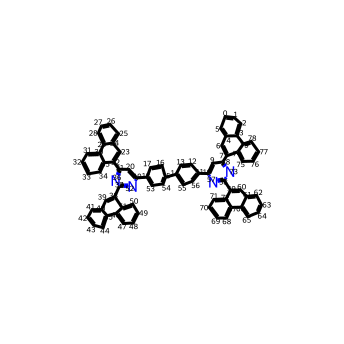 c1ccc2c(c1)cc(-c1cc(-c3ccc(-c4ccc(-c5cc(-c6cc7ccccc7c7ccccc67)nc(-c6cc7ccccc7c7ccccc67)n5)cc4)cc3)nc(-c3cc4ccccc4c4ccccc34)n1)c1ccccc12